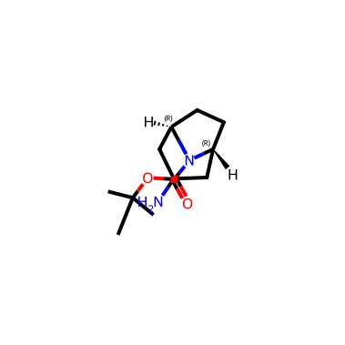 CC(C)(C)OC(=O)N1[C@@H]2CC[C@@H]1CC(N)C2